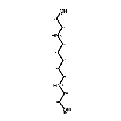 OCCNCCCCCNCCO